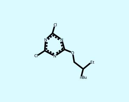 CCCCC(CC)COc1nc(Cl)nc(Cl)n1